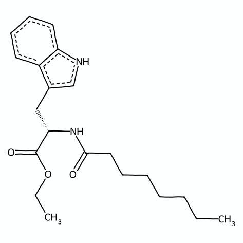 CCCCCCCC(=O)N[C@@H](Cc1c[nH]c2ccccc12)C(=O)OCC